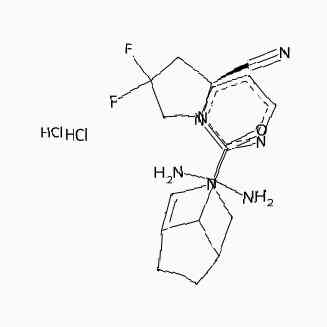 Cl.Cl.N#C[C@@H]1CC(F)(F)CN1C(=O)C(N)(N)C1C2=CN(c3ncccn3)CC1CC2